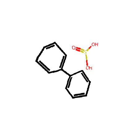 O=S(O)O.c1ccc(-c2ccccc2)cc1